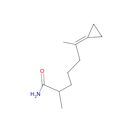 CC(CCCC(C)C(N)=O)=C1CC1